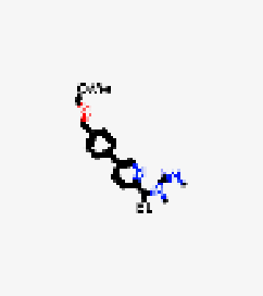 CCC(c1ccc(-c2ccc(COCOC)cc2)cn1)N(C)/C=N\C